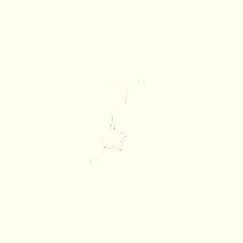 CC(C)CCn1cc(S)cn1